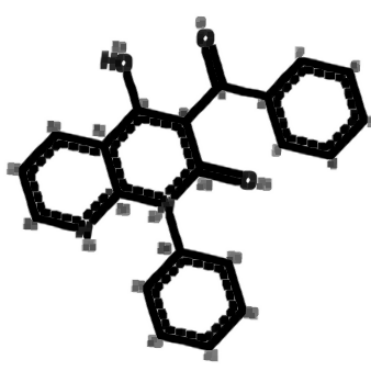 O=C(c1ccccc1)c1c(O)c2cccnc2n(-c2ccccc2)c1=O